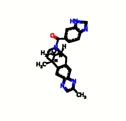 Cc1cnc2cc3c(cc2n1)C[C@H]1N(C(=O)c2ccc4nc[nH]c4c2)CC[C@]3(C)C1(C)C